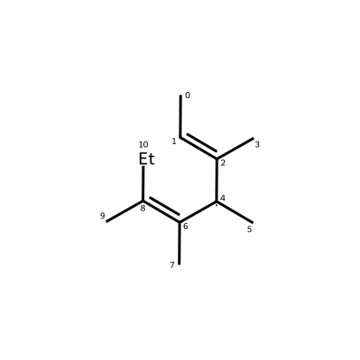 CC=C(C)[C](C)C(C)=C(C)CC